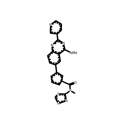 CNc1nc(-c2cccnc2)nc2ccc(-c3cccc(C(=O)N(C)c4nncs4)c3)cc12